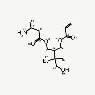 C=CC(=O)OCC(COC(=O)CC(C)N)C(C)(CC)CO